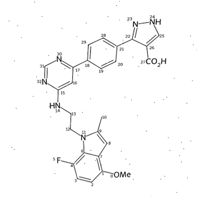 COc1ccc(F)c2c1cc(C)n2CCNc1cc(-c2ccc(-c3n[nH]cc3C(=O)O)cc2)ncn1